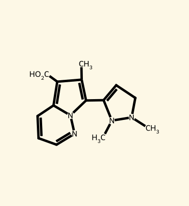 Cc1c(C(=O)O)c2cccnn2c1C1=CCN(C)N1C